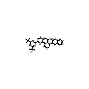 CC(C)(C)c1nc(-c2ccc3cc4c5c(nccc5c3c2)-c2cc3ccccc3cc2S4)nc(C(C)(C)C)n1